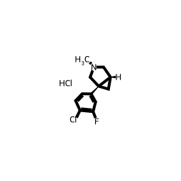 CN1C[C@@H]2C[C@]2(c2ccc(Cl)c(F)c2)C1.Cl